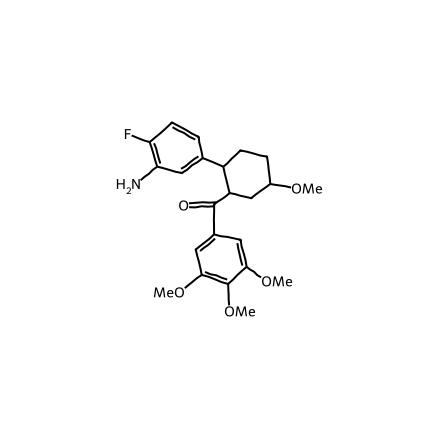 COc1cc(C(=O)C2CC(OC)CCC2c2ccc(F)c(N)c2)cc(OC)c1OC